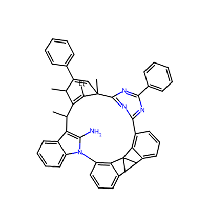 CCC1=C2C(C)C(c3ccccc3)=CC1(C)c1nc(-c3ccccc3)nc(n1)-c1cccc3c1C(C)(C)c1c-3cccc1-n1c(N)c(c3ccccc31)C2C